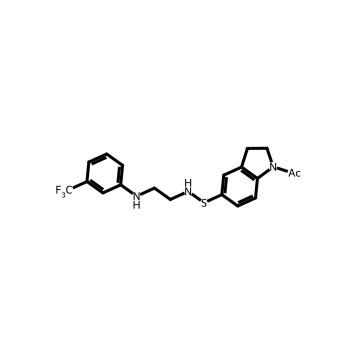 CC(=O)N1CCc2cc(SNCCNc3cccc(C(F)(F)F)c3)ccc21